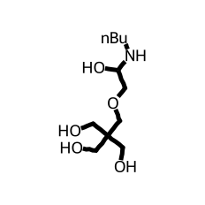 CCCCNC(O)COCC(CO)(CO)CO